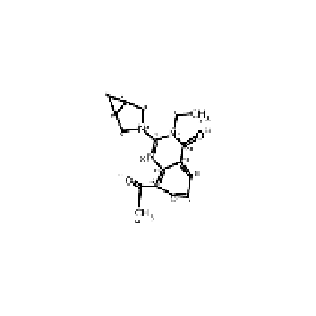 CCn1c(N2CC3CC3C2)nc2c(C(C)=O)cccc2c1=O